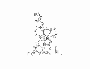 CC(C)(C)OC(=O)ON1CCC[C@H](N(Cc2cc(C(F)(F)F)cc(C(F)(F)F)c2)c2nnn(CCN)n2)c2cc3c(cc21)COC3